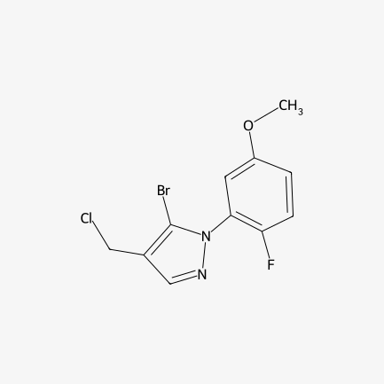 COc1ccc(F)c(-n2ncc(CCl)c2Br)c1